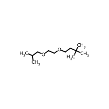 CC(C)COCCOCCC(C)(C)C